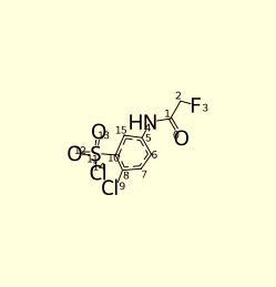 O=C(CF)Nc1ccc(Cl)c(S(=O)(=O)Cl)c1